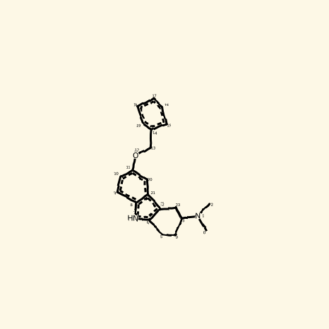 CN(C)C1CCc2[nH]c3ccc(OCc4ccccc4)cc3c2C1